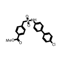 COC(=O)c1ccc(CS(=O)(=O)Nc2ccc(-c3ccc(Cl)cc3)cc2)cc1